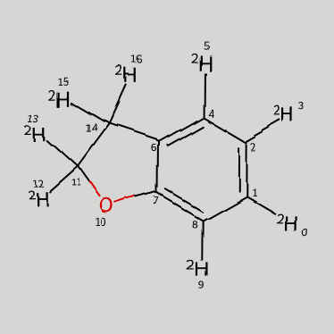 [2H]c1c([2H])c([2H])c2c(c1[2H])OC([2H])([2H])C2([2H])[2H]